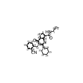 CC(C)CNC(=O)c1csc2c(=O)n(Cc3ccccc3C#N)c(N3CCCCC3)nc12